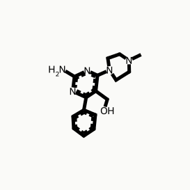 CN1CCN(c2nc(N)nc(-c3ccccc3)c2CO)CC1